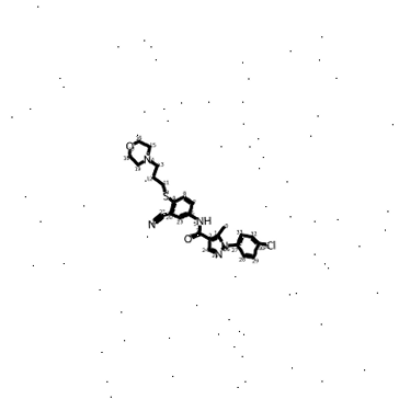 Cc1c(C(=O)Nc2ccc(SCCCN3CCOCC3)c(C#N)c2)cnn1-c1ccc(Cl)cc1